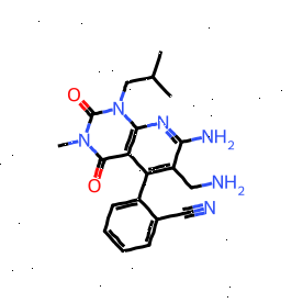 CC(C)Cn1c(=O)n(C)c(=O)c2c(-c3ccccc3C#N)c(CN)c(N)nc21